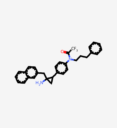 NC1(Cc2ccc3ccccc3c2)CC1c1ccc(N(CCCc2ccccc2)C(=O)C(F)(F)F)cc1